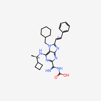 C[C@@H](Nc1nc(C(=N)NC(=O)O)nc2nc(/C=C/c3ccccc3)n(CC3CCCCC3)c12)C1CCC1